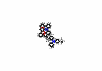 C[Si](C)(C)c1ccc(N(c2ccccc2)c2ccc3c(c2)[Si](C)(C)c2cccc4c(N(c5ccccc5-c5ccccc5)c5cccc6c5oc5ccccc56)ccc-3c24)cc1